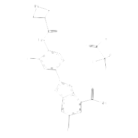 NC(=O)c1cc(F)cc2cn(-c3ccc(NC(=O)C4CNC4)c(F)c3)nc12.O=C(O)C(F)(F)F